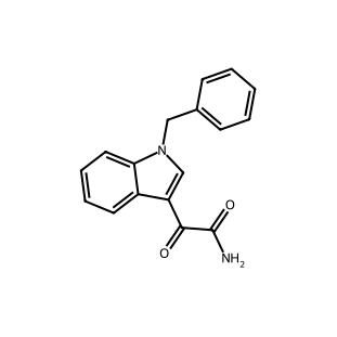 NC(=O)C(=O)c1cn(Cc2ccccc2)c2ccccc12